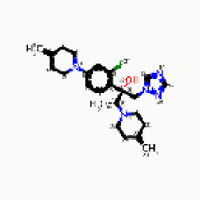 C=C1CCN(c2ccc([C@@](O)(Cn3cncn3)[C@@H](C)N3CCC(=C)CC3)c(F)c2)CC1